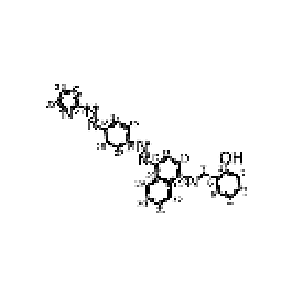 Oc1ccccc1/C=N/c1ccc(/N=N/c2ccc(/N=N/c3nccs3)cc2)c2ccccc12